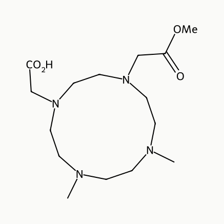 COC(=O)CN1CCN(C)CCN(C)CCN(CC(=O)O)CC1